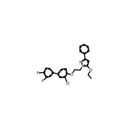 CCOc1cc(-c2ccccc2)nn1CCOc1ccc(-c2ccc(F)c(F)c2)cc1Cl